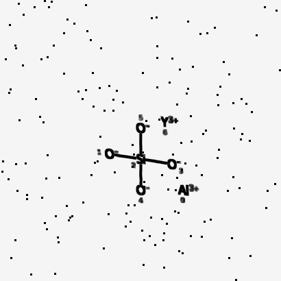 [Al+3].[O-][Si]([O-])([O-])[O-].[Y+3]